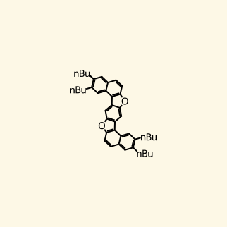 CCCCc1cc2ccc3oc4cc5c(cc4c3c2cc1CCCC)oc1ccc2cc(CCCC)c(CCCC)cc2c15